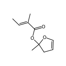 CC=C(C)C(=O)OC1(C)CC=CO1